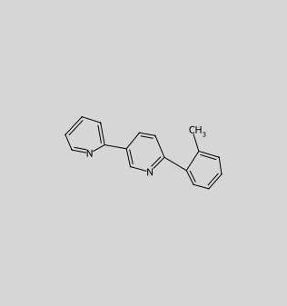 Cc1ccccc1-c1ccc(-c2ccccn2)cn1